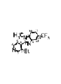 CCc1cnccc1-c1nc2cc(C(F)(F)F)ccc2n1C